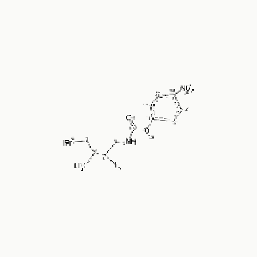 CC(C)CC(C)C(I)CNC(=O)Oc1ccc([N+](=O)[O-])cc1